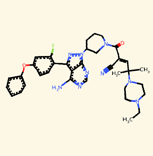 CCN1CCN(C(C)(C)/C=C(\C#N)C(=O)N2CCCC(n3nc(-c4ccc(Oc5ccccc5)cc4F)c4c(N)ncnc43)C2)CC1